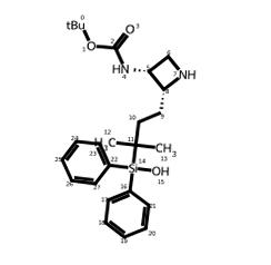 CC(C)(C)OC(=O)N[C@@H]1CN[C@@H]1CCC(C)(C)[Si](O)(c1ccccc1)c1ccccc1